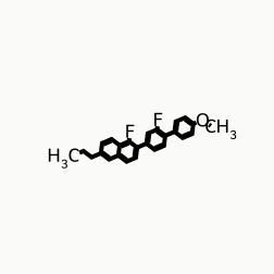 CCCc1ccc2c(F)c(-c3ccc(-c4ccc(OC)cc4)c(F)c3)ccc2c1